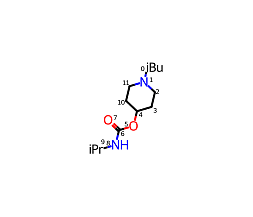 CCC(C)N1CCC(OC(=O)NC(C)C)CC1